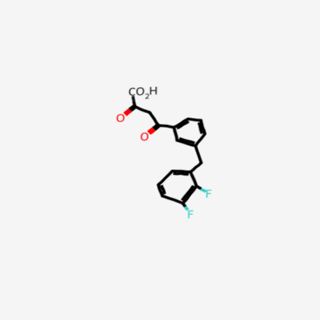 O=C(O)C(=O)CC(=O)c1cccc(Cc2cccc(F)c2F)c1